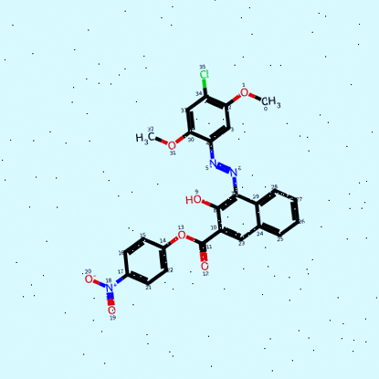 COc1cc(N=Nc2c(O)c(C(=O)Oc3ccc([N+](=O)[O-])cc3)cc3ccccc23)c(OC)cc1Cl